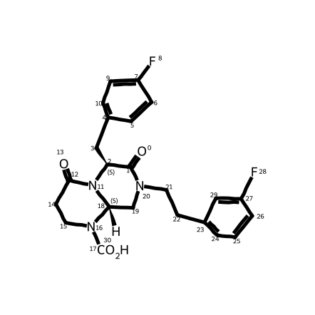 O=C1[C@H](Cc2ccc(F)cc2)N2C(=O)CCN(C(=O)O)[C@H]2CN1CCc1cccc(F)c1